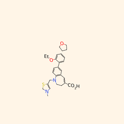 C1CCOC1.CCOc1ccccc1-c1ccc2c(c1)C=C(C(=O)O)CCN2CC1=CN(C)CS1